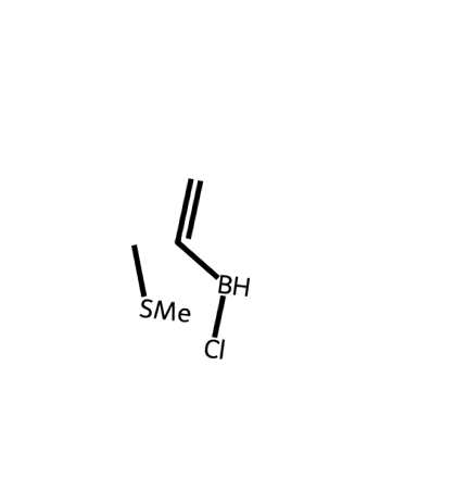 C=CBCl.CSC